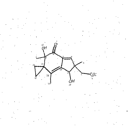 CC(=O)OCC1(C)C=C2C(=O)C(C)(O)C3(CC3)C(C)=C2C1O